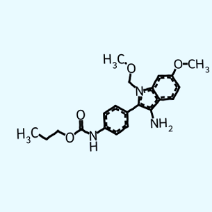 CCCOC(=O)Nc1ccc(-c2c(N)c3ccc(OC)cc3n2COC)cc1